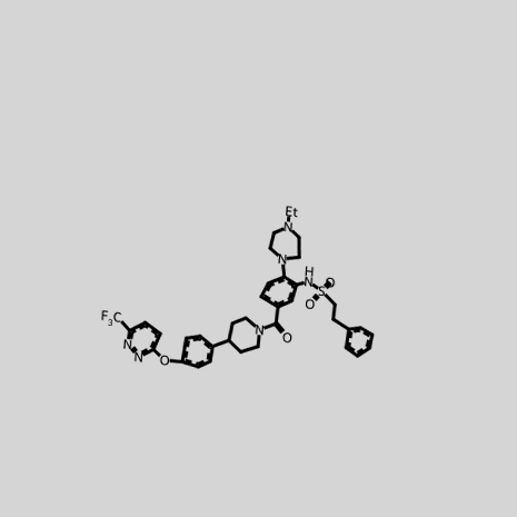 CCN1CCN(c2ccc(C(=O)N3CCC(c4ccc(Oc5ccc(C(F)(F)F)nn5)cc4)CC3)cc2NS(=O)(=O)CCc2ccccc2)CC1